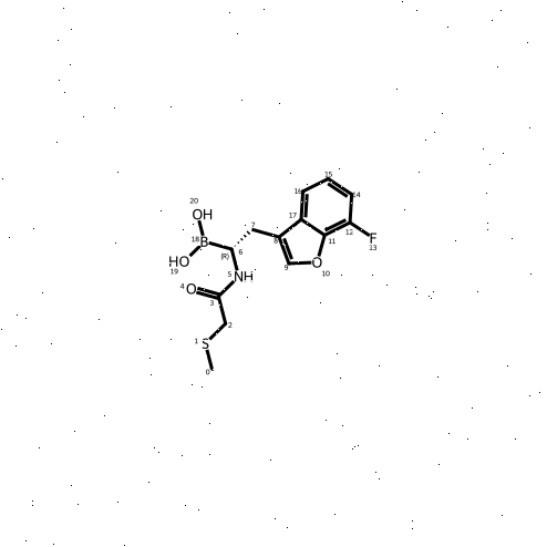 CSCC(=O)N[C@@H](Cc1coc2c(F)cccc12)B(O)O